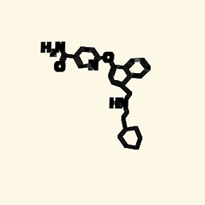 NC(=O)c1ccc(Oc2ccc(CNCCC3CCCCC3)c3ccccc23)nc1